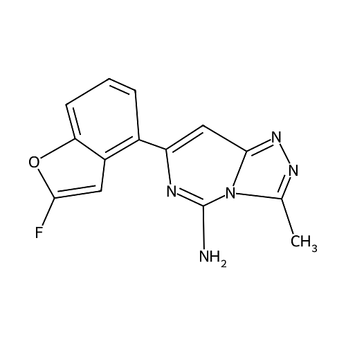 Cc1nnc2cc(-c3cccc4oc(F)cc34)nc(N)n12